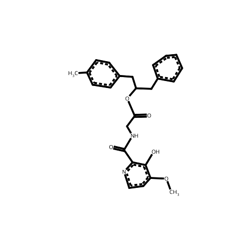 COc1ccnc(C(=O)NCC(=O)OC(Cc2ccccc2)Cc2ccc(C)cc2)c1O